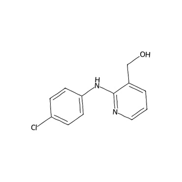 OCc1cccnc1Nc1ccc(Cl)cc1